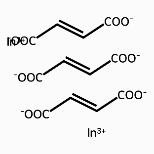 O=C([O-])/C=C/C(=O)[O-].O=C([O-])/C=C/C(=O)[O-].O=C([O-])/C=C/C(=O)[O-].[In+3].[In+3]